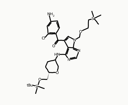 CC(C)(C)[Si](C)(C)OC[C@@H]1CCC(Nc2ncnc3c2c(C(=O)c2ccc(N)cc2Cl)cn3COCC[Si](C)(C)C)CO1